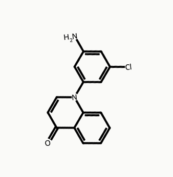 Nc1cc(Cl)cc(-n2ccc(=O)c3ccccc32)c1